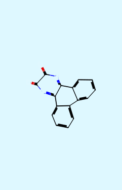 O=C1N=c2c(c3ccccc3c3ccccc23)=NC1=O